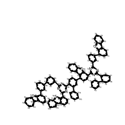 c1ccc(-c2cc(-c3ccc(-c4nc(-c5cccc(-c6cccc7c6oc6ccccc67)c5)nc(-c5ccccc5-c5ccccc5)n4)c4sc5ccccc5c34)ccc2-c2nc(-c3cccc(-c4cccc(-c5cccc6c5sc5ccccc56)c4)c3)nc(-c3cccc4c3sc3ccccc34)n2)cc1